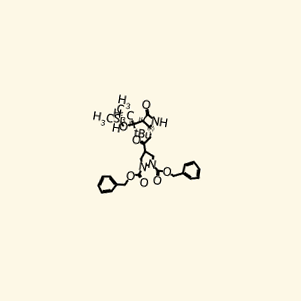 C[SiH](C)O[C@](C)([C@H]1C(=O)N[C@@H]1CC(=O)C1CN(C(=O)OCc2ccccc2)N(C(=O)OCc2ccccc2)C1)C(C)(C)C